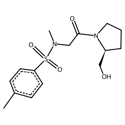 Cc1ccc(S(=O)(=O)N(C)CC(=O)N2CCC[C@H]2CO)cc1